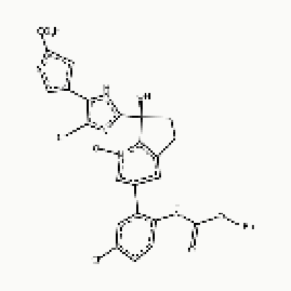 CC(C)(C)OC(=O)Nc1ccc(Cl)cc1-c1cc2c([n+]([O-])c1)[C@](O)(c1nc(Cl)c(-c3csc(C(=O)O)c3)[nH]1)CC2